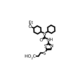 CCOC1CCC(N(C(=O)Nc2ncc(SCCC(=O)O)s2)C2CCCCC2)CC1